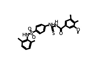 COc1cc(C(=O)NC(=S)Nc2ccc(S(=O)(=O)Nc3c(C)cccc3C)cc2)cc(C)c1C